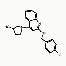 O[C@@H]1CCN(c2cc(NCc3ccc(Cl)cc3)nc3ccccc23)C1